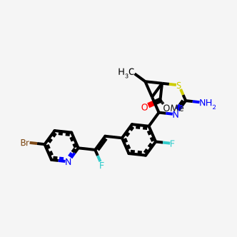 COC(=O)C12SC(N)=NC(c3cc(/C=C(\F)c4ccc(Br)cn4)ccc3F)C1C2C